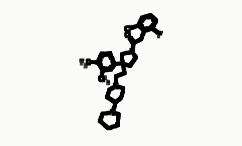 O=C(Cc1c(F)cccc1Cl)N1CCC(CCN2CCC(N3CCCCC3)CC2)(c2ccc(C(F)(F)F)c(C(F)(F)F)c2)C1